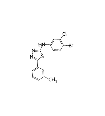 Cc1cccc(-c2nnc(Nc3ccc(Br)c(Cl)c3)s2)c1